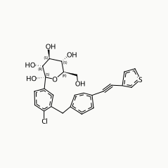 OC[C@H]1O[C@@](O)(c2ccc(Cl)c(Cc3ccc(C#Cc4ccsc4)cc3)c2)[C@H](O)[C@@H](O)[C@@H]1O